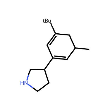 CC1C=C(C2CCNC2)C=C(C(C)(C)C)C1